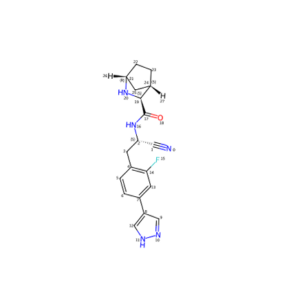 N#C[C@H](Cc1ccc(-c2cn[nH]c2)cc1F)NC(=O)[C@H]1N[C@@H]2CC[C@H]1C2